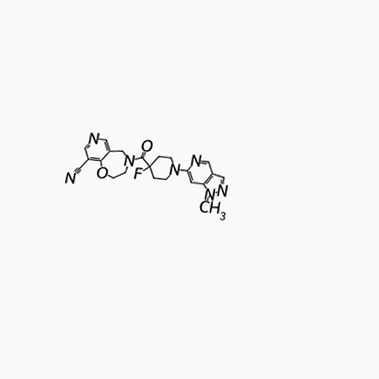 Cn1ncc2cnc(N3CCC(F)(C(=O)N4CCOc5c(C#N)cncc5C4)CC3)cc21